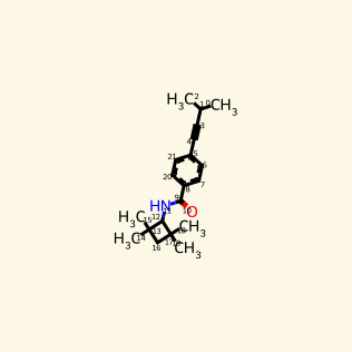 CC(C)C#Cc1ccc(C(=O)NC2C(C)(C)CC2(C)C)cc1